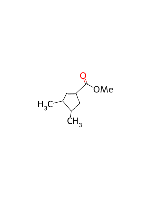 COC(=O)C1=CC(C)C(C)C1